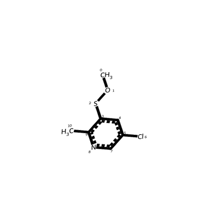 COSc1cc(Cl)cnc1C